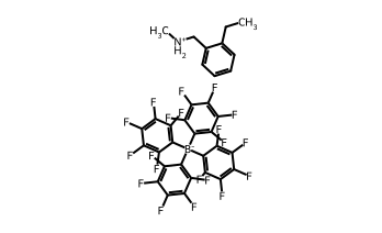 CCc1ccccc1C[NH2+]C.Fc1c(F)c(F)c([B-](c2c(F)c(F)c(F)c(F)c2F)(c2c(F)c(F)c(F)c(F)c2F)c2c(F)c(F)c(F)c(F)c2F)c(F)c1F